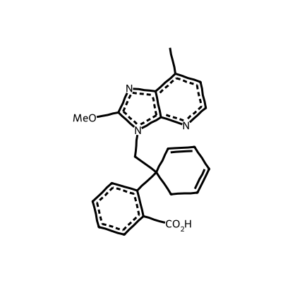 COc1nc2c(C)ccnc2n1CC1(c2ccccc2C(=O)O)C=CC=CC1